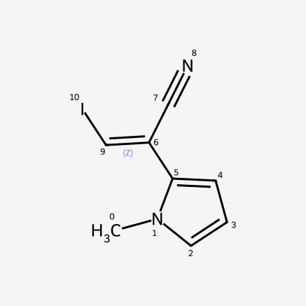 Cn1cccc1/C(C#N)=C/I